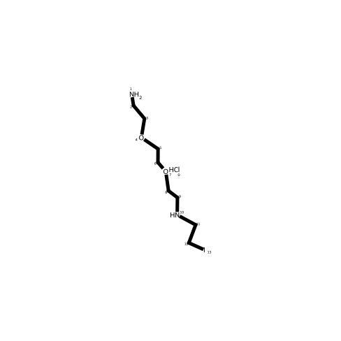 Cl.NCCOCCOCCNCCI